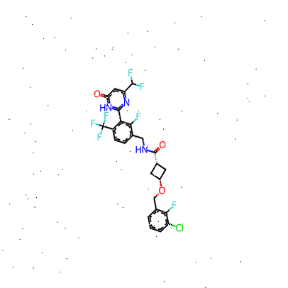 O=c1cc(C(F)F)nc(-c2c(C(F)(F)F)ccc(CNC(=O)[C@H]3C[C@H](OCc4cccc(Cl)c4F)C3)c2F)[nH]1